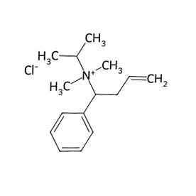 C=CCC(c1ccccc1)[N+](C)(C)C(C)C.[Cl-]